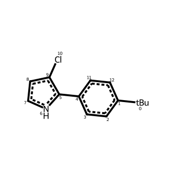 CC(C)(C)c1ccc(-c2[nH]ccc2Cl)cc1